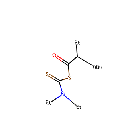 CCCCC(CC)C(=O)SC(=S)N(CC)CC